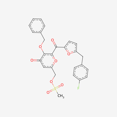 CS(=O)(=O)OCc1cc(=O)c(OCc2ccccc2)c(C(=O)c2ccc(Cc3ccc(F)cc3)o2)o1